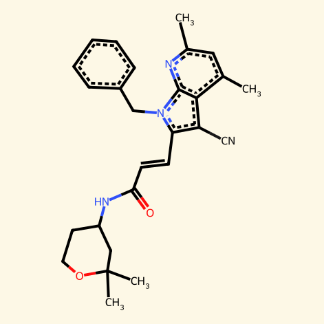 Cc1cc(C)c2c(C#N)c(C=CC(=O)NC3CCOC(C)(C)C3)n(Cc3ccccc3)c2n1